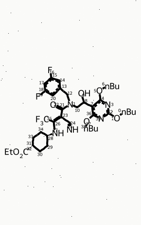 CCCCOc1nc(OCCCC)c(C(O)CN(Cc2cc(F)cc(F)c2)C(=O)/C(C=N)=C(/N[C@H]2CC[C@H](C(=O)OCC)CC2)C(F)(F)F)c(OCCCC)n1